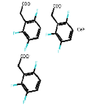 O=C([O-])Cc1c(F)ccc(F)c1F.O=C([O-])Cc1c(F)ccc(F)c1F.O=C([O-])Cc1c(F)ccc(F)c1F.[Ce+3]